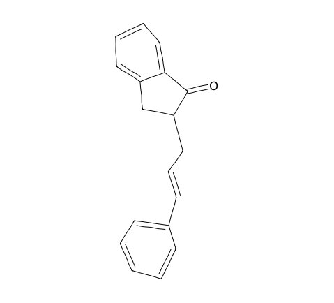 O=C1c2ccccc2CC1CC=Cc1ccccc1